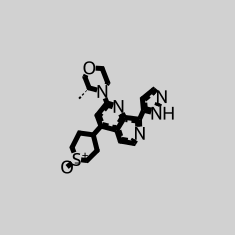 C[C@@H]1COCCN1c1cc(C2CC[S+]([O-])CC2)c2ccnc(-c3ccn[nH]3)c2n1